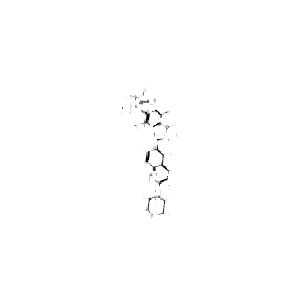 Cc1cc(C(C)NC(=O)c2ccc3nc(N4CCOCC4)ccc3c2)c(F)cc1NS(C)(=O)=O